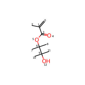 C=C(C)C(=O)OC(C)(C)C(C)(C)O